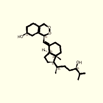 CC(C)[C@H](O)CC[C@@H](C)[C@H]1CC[C@H]2C(=C[C@@H]3OOCC4=C3C[C@@H](O)CC4)CCC[C@]12C